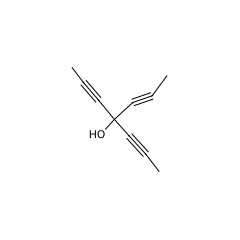 CC#CC(O)(C#CC)C#CC